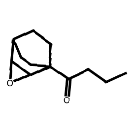 CCCC(=O)C12CCC(CC1)C1OC12